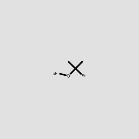 [CH2]CC(C)(C)OCCC